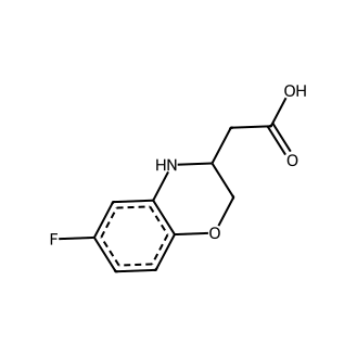 O=C(O)CC1COc2ccc(F)cc2N1